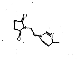 CC1C=CN(CCN2C(=O)CCC2=O)C=N1